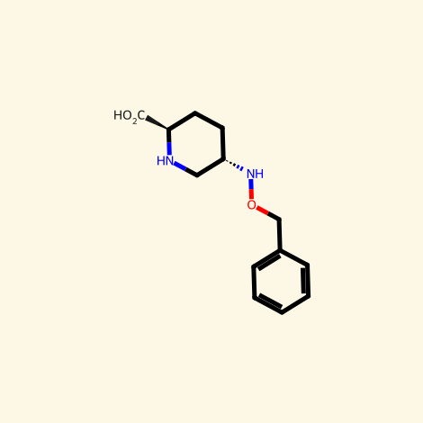 O=C(O)[C@H]1CC[C@H](NOCc2ccccc2)CN1